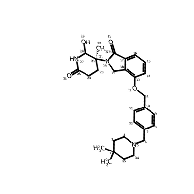 CC1(C)CCN(Cc2ccc(COc3cccc4c3CN([C@@]3(C)CCC(=O)NC3O)C4=O)cc2)CC1